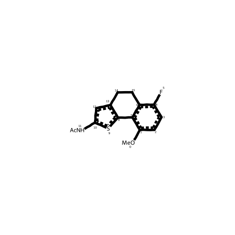 COc1ccc(F)c2c1-c1sc(NC(C)=O)cc1CC2